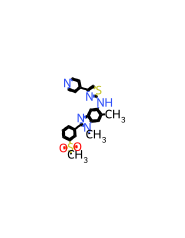 Cc1cc2c(cc1Nc1nc(-c3ccncc3)cs1)nc(-c1cccc(S(C)(=O)=O)c1)n2C